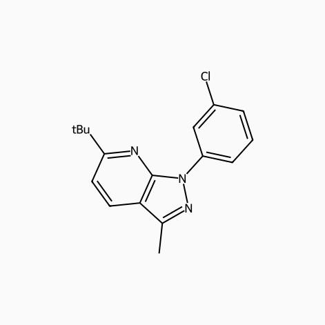 Cc1nn(-c2cccc(Cl)c2)c2nc(C(C)(C)C)ccc12